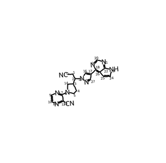 N#CCC(C1CCN(c2nccnc2C#N)C1)n1cc(-c2ncnc3[nH]ccc23)cn1